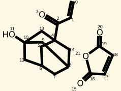 C=CC(=O)C12CC3CC(CC(O)(C3)C1)C2.O=C1C=CC(=O)O1